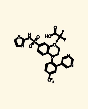 O=C(O)C(F)(F)F.O=S(=O)(Nc1nccs1)c1ccc2c(c1)OCCN2c1ccc(C(F)(F)F)cc1-c1cncnc1